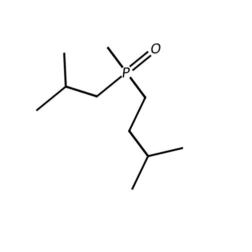 CC(C)CCP(C)(=O)CC(C)C